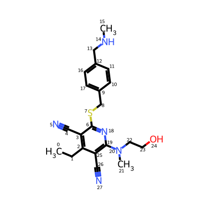 CCc1c(C#N)c(SCc2ccc(CNC)cc2)nc(N(C)CCO)c1C#N